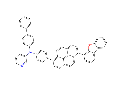 c1ccc(-c2ccc(N(c3ccc(-c4ccc5ccc6c(-c7cccc8c7oc7ccccc78)ccc7ccc4c5c76)cc3)c3cccnc3)cc2)cc1